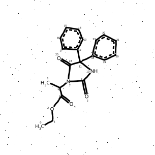 CCOC(=O)C(C)N1C(=O)NC(c2ccccc2)(c2ccccc2)C1=O